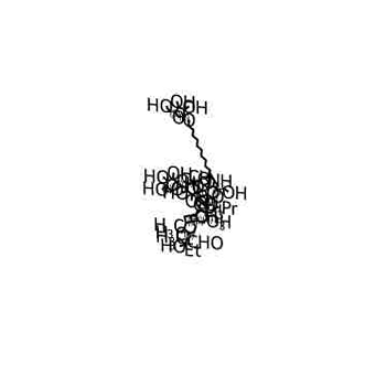 CCC(O)C(C)(C=O)[C@@H]1CC[C@@]23C(=C4C(C)C(CCC(C)C)(C(=O)O[C@@H]5O[C@H](CO)C(NC(=O)CCCCCCCCCCO[C@@H]6O[C@@H](CO)C(O)C6O)C(O)C5O[C@@H]5O[C@H](C)C(O[C@@H]6OC[C@@H](O)C(O)C6O)C(O)C5O)[C@H](O)C[C@]42C)CC3C1(C)C